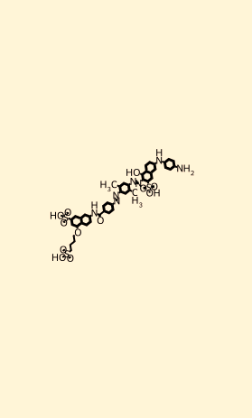 Cc1cc(N=Nc2c(S(=O)(=O)O)cc3cc(Nc4ccc(N)cc4)ccc3c2O)c(C)cc1N=Nc1ccc(C(=O)Nc2ccc3c(OCCCCS(=O)(=O)O)cc(S(=O)(=O)O)cc3c2)cc1